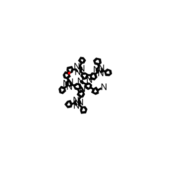 N#Cc1cccc(-c2cc(-n3c4ccc(-c5nc(-c6ccccc6)nc(-c6ccccc6)n5)cc4c4cc(-c5nc(-c6ccccc6)nc(-c6ccccc6)n5)ccc43)c(C#N)c(-n3c4ccc(-c5nc(-c6ccccc6)nc(-c6ccccc6)n5)cc4c4cc(-c5nc(-c6ccccc6)nc(-c6ccccc6)n5)ccc43)c2)c1